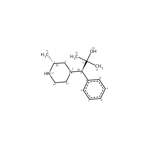 C[C@@H]1CN([C@H](c2ccccc2)C(C)(C)O)CCN1